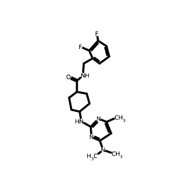 Cc1cc(N(C)C)nc(NC2CCC(C(=O)NCc3cccc(F)c3F)CC2)n1